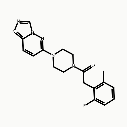 Cc1cccc(F)c1CC(=O)N1CCN(c2ccc3nncn3n2)CC1